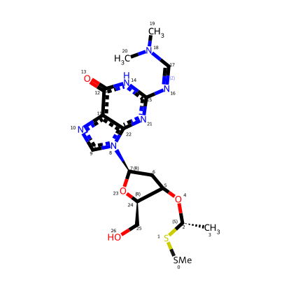 CSS[C@@H](C)OC1C[C@H](n2cnc3c(=O)[nH]c(/N=C\N(C)C)nc32)O[C@@H]1CO